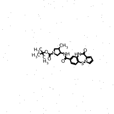 CC1CN(C(=O)OC(C)(C)C)CC1NC(=O)c1ccc2c(c1)NC(=O)c1cccn1S2